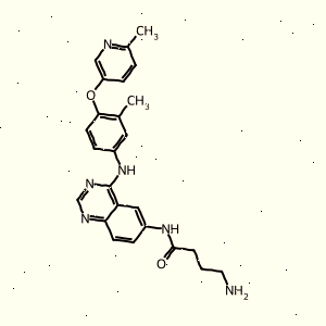 Cc1ccc(Oc2ccc(Nc3ncnc4ccc(NC(=O)CCCN)cc34)cc2C)cn1